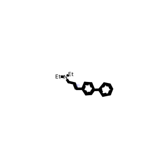 CCN(CC)C/C=C/c1ccc(-c2ccccc2)cc1